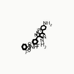 CC(C)n1nc(-c2ccc(NS(=O)(=O)c3ccccc3F)c(F)c2)c2c(N)ncc(C3=CCC(N)CC3)c21